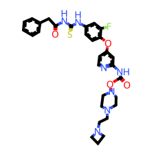 O=C(Cc1ccccc1)NC(=S)Nc1ccc(Oc2ccnc(NC(=O)ON3CCN(CCN4CCC4)CC3)c2)c(F)c1